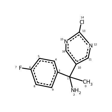 CC(N)(c1ccc(F)cc1)c1cnc(Cl)nc1